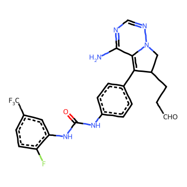 NC1=NC=NN2CC(CCC=O)C(c3ccc(NC(=O)Nc4cc(C(F)(F)F)ccc4F)cc3)=C12